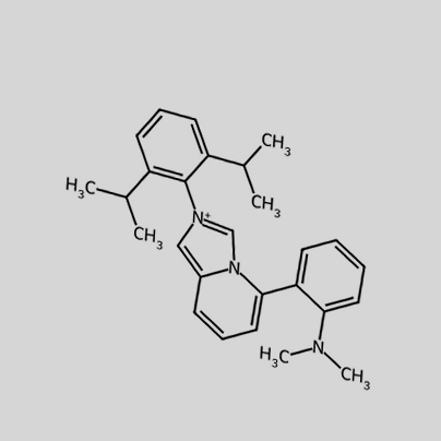 CC(C)c1cccc(C(C)C)c1-[n+]1cc2cccc(-c3ccccc3N(C)C)n2c1